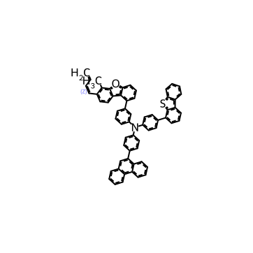 C=C/C=C\c1ccc2c(oc3cccc(-c4cccc(N(c5ccc(-c6cc7ccccc7c7ccccc67)cc5)c5ccc(-c6cccc7c6sc6ccccc67)cc5)c4)c32)c1C